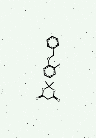 CC1(C)OC(=O)CC(=O)O1.Ic1ccccc1OCc1ccccc1